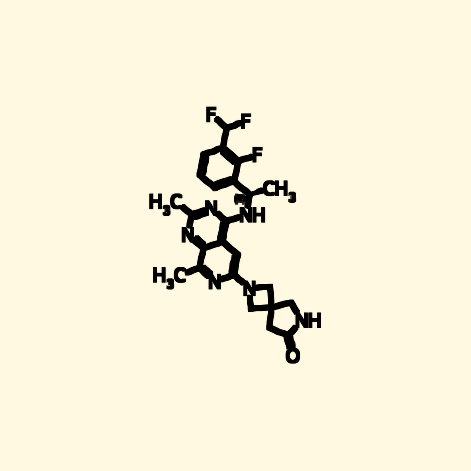 Cc1nc(N[C@H](C)c2cccc(C(F)F)c2F)c2cc(N3CC4(CNC(=O)C4)C3)nc(C)c2n1